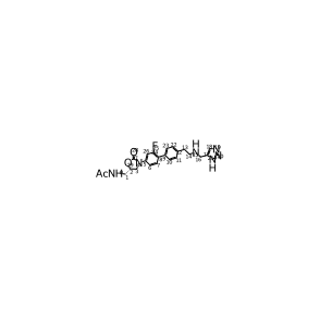 CC(=O)NC[C@H]1CN(c2ccc(-c3ccc(CCNCc4cnn[nH]4)cc3)c(F)c2)C(=O)O1